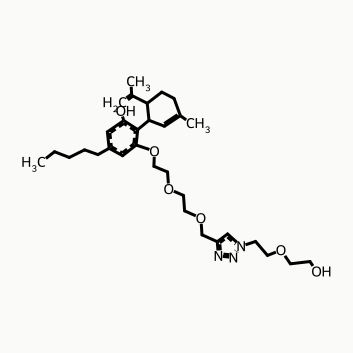 C=C(C)C1CCC(C)=CC1c1c(O)cc(CCCCC)cc1OCCOCCOCc1cn(CCOCCO)nn1